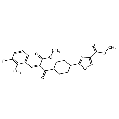 COC(=O)/C(=C\c1cccc(F)c1C)C(=O)C1CCC(c2nc(C(=O)OC)co2)CC1